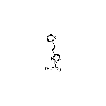 CC(C)(C)C(=O)n1ccc(/C=C/c2cccs2)n1